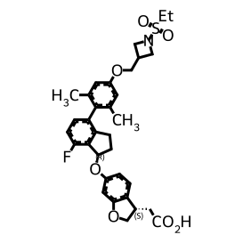 CCS(=O)(=O)N1CC(COc2cc(C)c(-c3ccc(F)c4c3CC[C@H]4Oc3ccc4c(c3)OC[C@H]4CC(=O)O)c(C)c2)C1